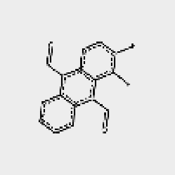 O=Cc1c2ccccc2c(C=O)c2c(F)c(F)ccc12